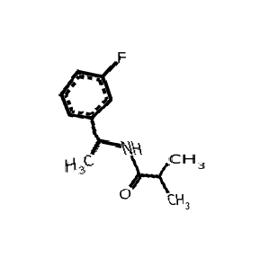 CC(C)C(=O)NC(C)c1cccc(F)c1